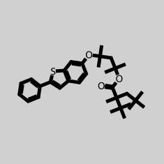 CC(C)(C)CC(C)(C(=O)OC(C)(C)CC(C)(C)Oc1ccc2cc(-c3ccccc3)sc2c1)C(C)(C)C